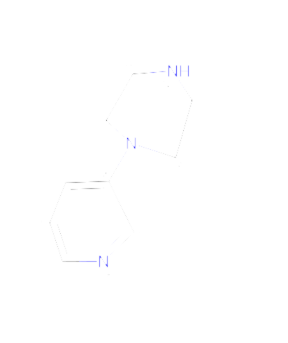 C[C@@H]1CN(c2cccnc2)CCN1